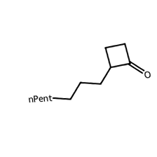 CCCCCCCCC1CCC1=O